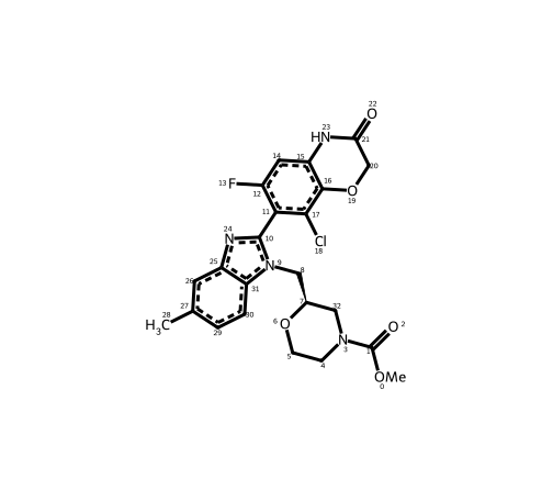 COC(=O)N1CCO[C@@H](Cn2c(-c3c(F)cc4c(c3Cl)OCC(=O)N4)nc3cc(C)ccc32)C1